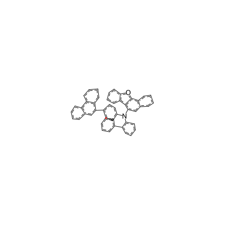 c1ccc(-c2ccccc2N(c2ccc(-c3cc4ccccc4c4ccccc34)cc2)c2cc3ccccc3c3oc4ccccc4c23)cc1